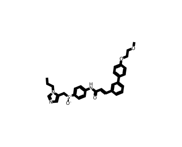 CCCn1cncc1C[S@+]([O-])c1ccc(NC(=O)/C=C/c2cccc(-c3ccc(OCCOC)cc3)c2)cc1